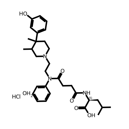 CC(C)C[C@H](NC(=O)CCC(=O)N(CCN1CCC(C)(c2cccc(O)c2)C(C)C1)c1ccccc1)C(=O)O.Cl.O